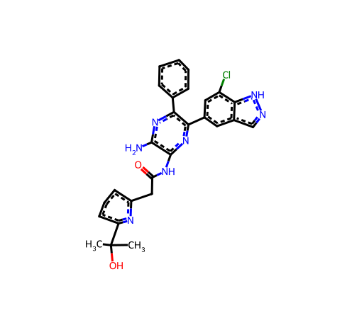 CC(C)(O)c1cccc(CC(=O)Nc2nc(-c3cc(Cl)c4[nH]ncc4c3)c(-c3ccccc3)nc2N)n1